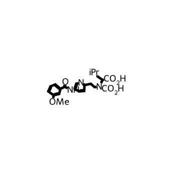 COc1cccc(C(=O)Nc2ccc(CCN(C(=O)O)C(CC(C)C)C(=O)O)nc2)c1